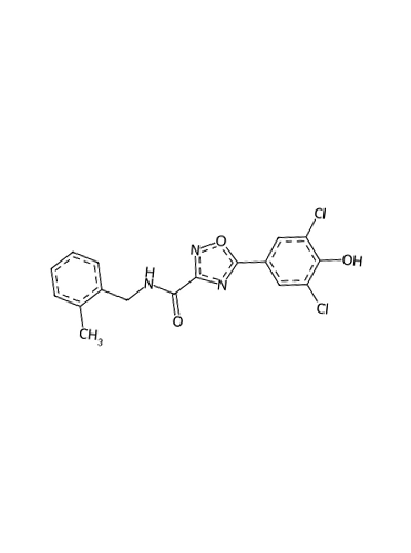 Cc1ccccc1CNC(=O)c1noc(-c2cc(Cl)c(O)c(Cl)c2)n1